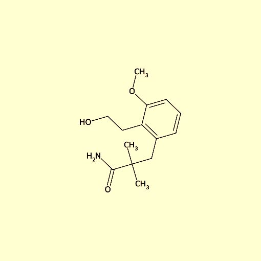 COc1cccc(CC(C)(C)C(N)=O)c1CCO